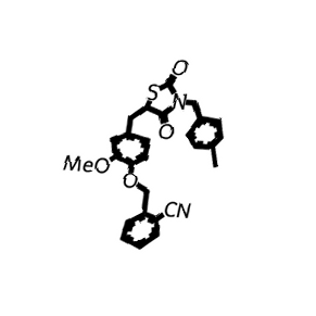 COc1cc(CC2SC(=O)N(Cc3ccc(C)cc3)C2=O)ccc1OCc1ccccc1C#N